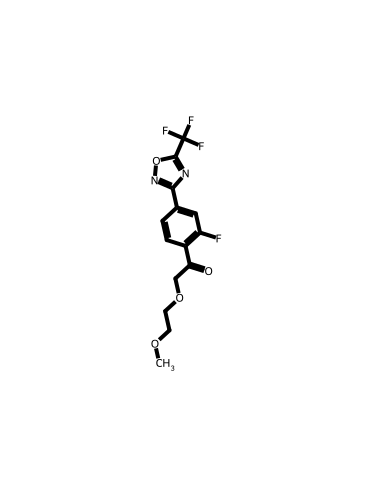 COCCOCC(=O)c1ccc(-c2noc(C(F)(F)F)n2)cc1F